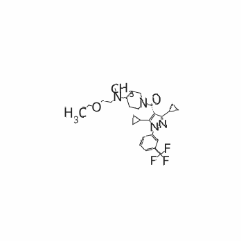 CCOCCN(C)C1CCN(C(=O)c2c(C3CC3)nn(-c3cccc(C(F)(F)F)c3)c2C2CC2)CC1